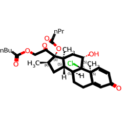 CCCCC(=O)OCC(=O)[C@]1(OC(=O)CCC)[C@H](C)C[C@H]2[C@@H]3CCC4=CC(=O)C=C[C@]4(C)[C@@]3(Cl)[C@@H](O)C[C@@]21C